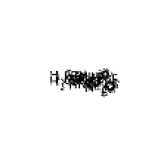 CC(C)(C)OC(=O)Nc1nn2ccc(N3CCC[C@@H]3c3cc(F)ccc3F)nc2c1Br